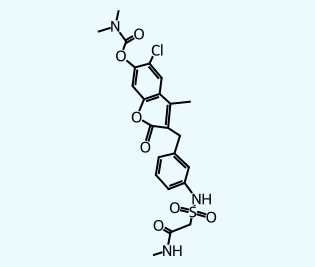 CNC(=O)CS(=O)(=O)Nc1cccc(Cc2c(C)c3cc(Cl)c(OC(=O)N(C)C)cc3oc2=O)c1